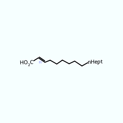 CCCCCCCCCCCCC/C=C/C(=O)O